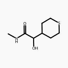 CNC(=O)C(O)C1CCSCC1